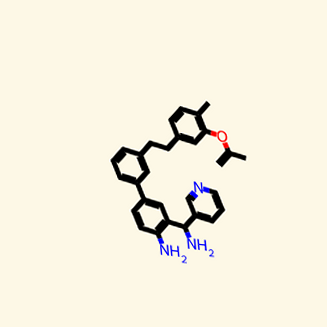 C=C(C)Oc1cc(CCc2cccc(-c3ccc(N)c(C(N)c4cccnc4)c3)c2)ccc1C